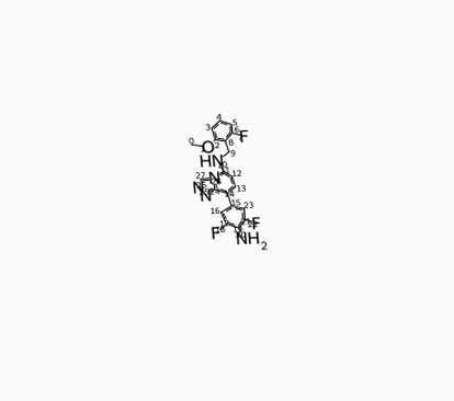 COc1cccc(F)c1CNc1ccc(-c2cc(F)c(N)c(F)c2)c2nncn12